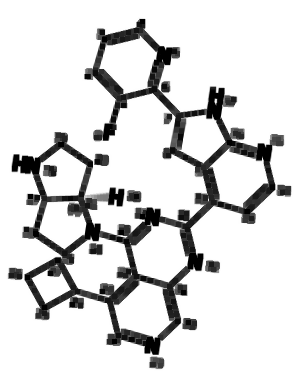 Fc1cccnc1-c1cc2c(-c3nc(N4CCC5NCC[C@H]54)c4c(C5CCC5)cncc4n3)ccnc2[nH]1